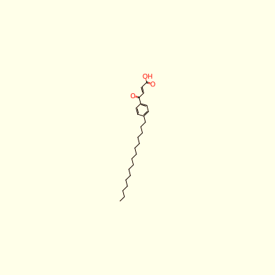 CCCCCCCCCCCCCCCCc1ccc(C(=O)C=CC(=O)O)cc1